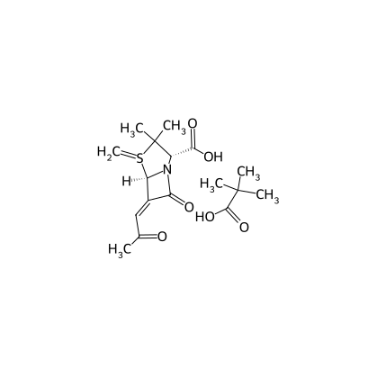 C=S1[C@@H]2/C(=C/C(C)=O)C(=O)N2[C@@H](C(=O)O)C1(C)C.CC(C)(C)C(=O)O